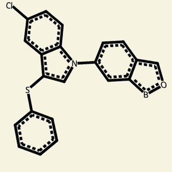 Clc1ccc2c(c1)c(Sc1ccccc1)cn2-c1ccc2cobc2c1